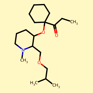 CCC(=O)C1(OC2CCCN(C)C2COCC(C)C)CCCCC1